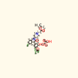 CC1CCO[C@@H](CCN2CCC(N(Cc3ccc(F)cc3)C(=O)Cc3ccc(OC(F)(F)F)cc3)CC2)O1.O=C(O)C(=O)O